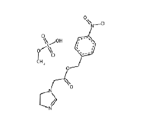 COS(=O)(=O)O.O=C(CN1C=NCC1)OCc1ccc([N+](=O)[O-])cc1